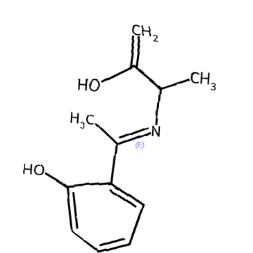 C=C(O)C(C)/N=C(\C)c1ccccc1O